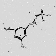 BOP(=O)(O)O.Nc1nc(N)nc(N)n1